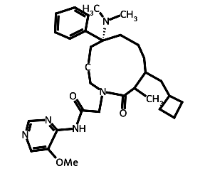 COc1cncnc1NC(=O)CN1CCC[C@](c2ccccc2)(N(C)C)CCCC(CC2CCC2)C(C)C1=O